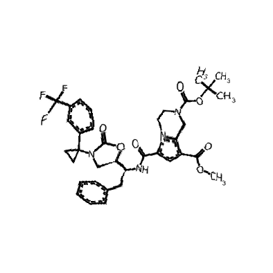 COC(=O)c1cc(C(=O)N[C@@H](Cc2ccccc2)[C@H]2CN(C3(c4cccc(C(F)(F)F)c4)CC3)C(=O)O2)n2c1CN(C(=O)OC(C)(C)C)CC2